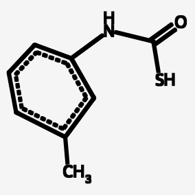 Cc1cccc(NC(=O)S)c1